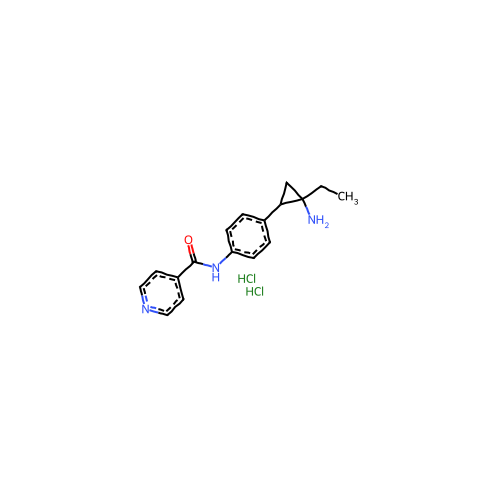 CCC1(N)CC1c1ccc(NC(=O)c2ccncc2)cc1.Cl.Cl